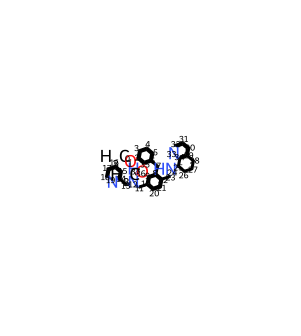 COc1cccc(Cc2cc(CNCc3ccccn3)ccc2CNC2CCCc3cccnc32)c1OC